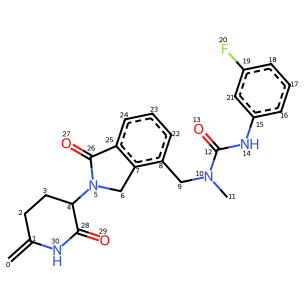 C=C1CCC(N2Cc3c(CN(C)C(=O)Nc4cccc(F)c4)cccc3C2=O)C(=O)N1